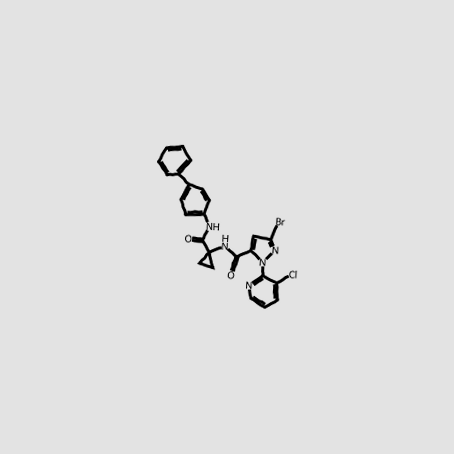 O=C(NC1(C(=O)Nc2ccc(-c3ccccc3)cc2)CC1)c1cc(Br)nn1-c1ncccc1Cl